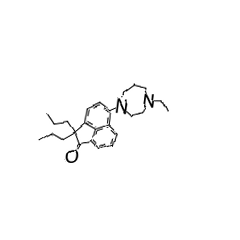 CCCC1(CCC)C(=O)c2cccc3c(N4CCCN(CC)CC4)ccc1c23